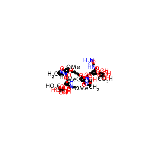 C=C1C[C@H]2CN(C(=O)OCc3ccc(O[C@@H]4O[C@H](C(=O)O)[C@@H](O)[C@H](O)[C@H]4O)c(C(=O)NCCOC)c3)c3cc(OCCCCCOc4cc5c(cc4OC)C(=O)N4CC(=C)C[C@H]4C(O)N5C(=O)OCc4ccc(O[C@@H]5O[C@H](C(=O)O)[C@@H](O)[C@H](O)[C@H]5O)c(C(=O)NCCON)c4)c(OC)cc3C(=O)N2C1